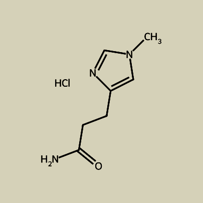 Cl.Cn1cnc(CCC(N)=O)c1